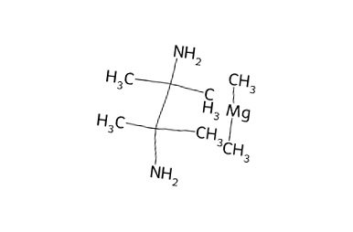 CC(C)(N)C(C)(C)N.[CH3][Mg][CH3]